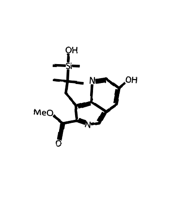 COC(=O)c1ncc2cc(O)cnc2c1CC(C)(C)[Si](C)(C)O